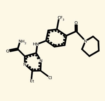 CCc1nc(C(N)=O)c(Nc2ccc(C(=O)N3CCCCC3)c(C(F)(F)F)c2)nc1Cl